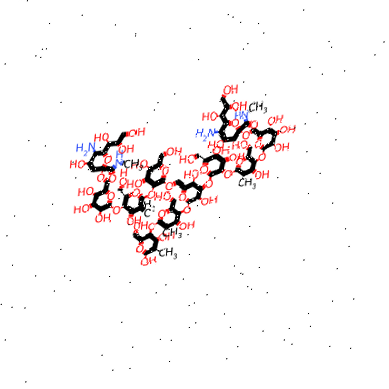 CNC(=O)[C@@]1(OCC2O[C@@H](O[C@@H]3C(CO)O[C@@H](OC4C(O)[C@H](O)[C@@H](CO)O[C@@H]4OC4[C@H](O)C(CO[C@H]5OC(CO)[C@@H](O)C(O)[C@H]5O[C@@H]5O[C@@H](CO)[C@@H](O[C@@H]6OC(CO[C@]7(C(=O)NC)C[C@@H](O)[C@@H](N)C([C@H](O)C(O)CO)O7)[C@H](O)C(O)[C@@H]6O)C(O)C5C)O[C@@H](O[C@@H]5C(CO)O[C@@H](O[C@@H]6C(CO)O[C@@H](O)[C@@H](C)C6O)[C@@H](C)C5O)[C@@H]4O)[C@@H](C)C3O)[C@@H](O)C(O)[C@H]2O)C[C@@H](O)[C@@H](N)C([C@H](O)C(O)CO)O1